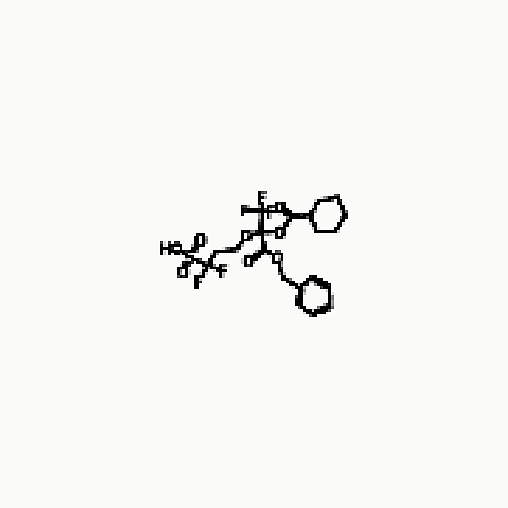 O=C(OC(OCCC(F)(F)S(=O)(=O)O)(C(=O)OCc1ccccc1)C(F)(F)F)C1CCCCC1